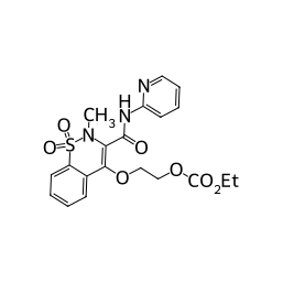 CCOC(=O)OCCOC1=C(C(=O)Nc2ccccn2)N(C)S(=O)(=O)c2ccccc21